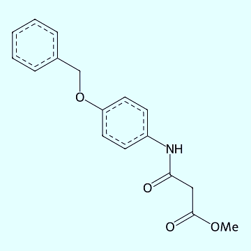 COC(=O)CC(=O)Nc1ccc(OCc2ccccc2)cc1